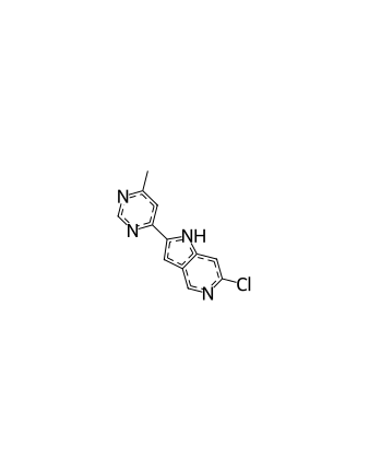 Cc1cc(-c2cc3cnc(Cl)cc3[nH]2)ncn1